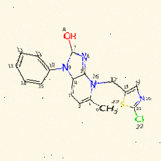 CC1=CC=C2C(=NC(O)N2c2ccccc2)N1Cc1cnc(Cl)s1